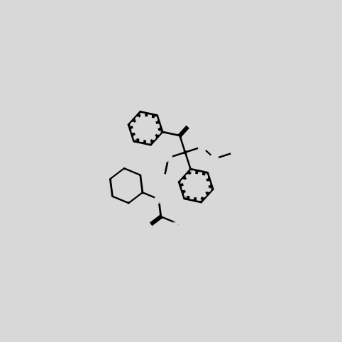 COOC(OC)(C(=O)c1ccccc1)c1ccccc1.NC(=O)OC1CCCCC1